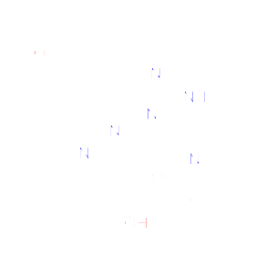 O=C(C1CC1)N1CCCC(Nc2nccc(-n3c(-c4ccc5occc5c4)nc4cc(O)ccc43)n2)C1